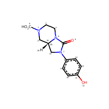 O=C(O)N1CCN2C(=O)N(c3ccc(O)cc3)C[C@@H]2C1